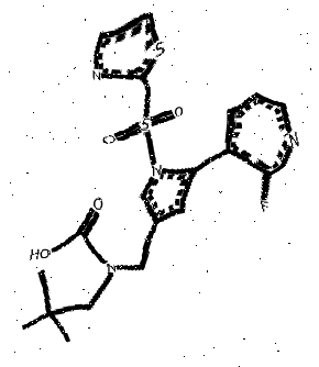 CC(C)(C)CN(Cc1cc(-c2cccnc2F)n(S(=O)(=O)c2nccs2)c1)C(=O)O